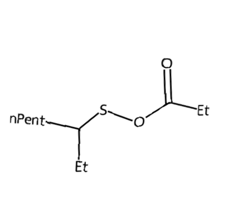 CCCCCC(CC)SOC(=O)CC